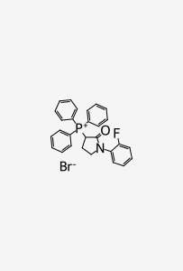 O=C1C([P+](c2ccccc2)(c2ccccc2)c2ccccc2)CCN1c1ccccc1F.[Br-]